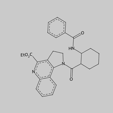 CCOC(=O)c1nc2ccccc2c2c1CCN2C(=O)C1CCCCC1NC(=O)c1ccccc1